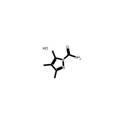 Cc1nn(C(N)=O)c(C)c1C.Cl